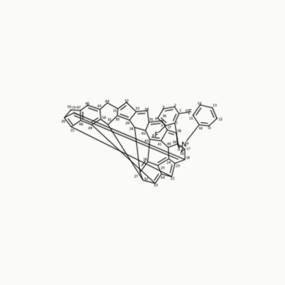 Fc1cccc(F)c1C1N(c2ccccc2)CC2c3cc4c5c6c3C3=C7C8=C9C%10C%11=C%12C(=CC%11=CC%11=CC%13=CC21C3C%13=C8C%11%10)Cc1cc(c5c2c1C%12C9c2c67)C4